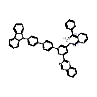 N/C(=C1/C=CC=C/C1=N/Cc1cc(-c2ccc(-c3ccc(-n4c5ccccc5c5ccccc54)cc3)cc2)cc(-c2ncc3ccccc3n2)c1)c1ccccc1